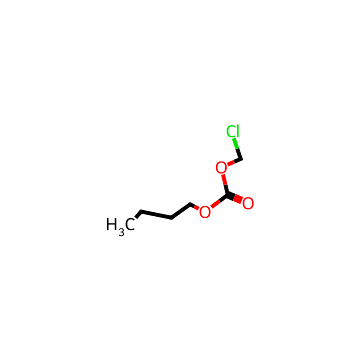 CCCCOC(=O)OCCl